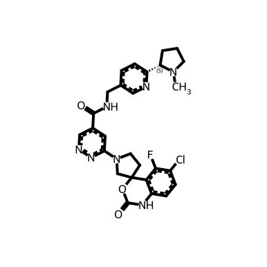 CN1CCC[C@H]1c1ccc(CNC(=O)c2cnnc(N3CCC4(C3)OC(=O)Nc3ccc(Cl)c(F)c34)c2)cn1